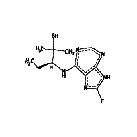 CC[C@H](Nc1ncnc2[nH]c(F)nc12)C(C)(C)S